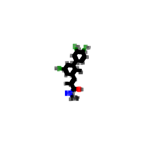 CCCNC(=O)/C(C)=C/c1cc(F)cc(-c2ccc(F)c(F)c2)c1C